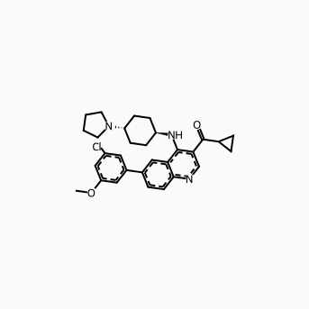 COc1cc(Cl)cc(-c2ccc3ncc(C(=O)C4CC4)c(N[C@H]4CC[C@H](N5CCCC5)CC4)c3c2)c1